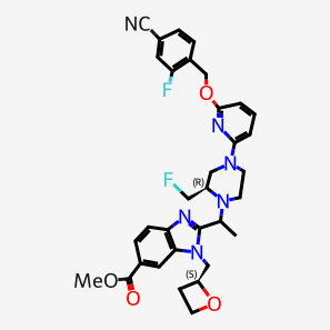 COC(=O)c1ccc2nc(C(C)N3CCN(c4cccc(OCc5ccc(C#N)cc5F)n4)C[C@@H]3CF)n(C[C@@H]3CCO3)c2c1